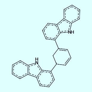 C1=C[C](c2cccc3c2[nH]c2ccccc23)CC(c2cccc3c2[nH]c2ccccc23)=C1